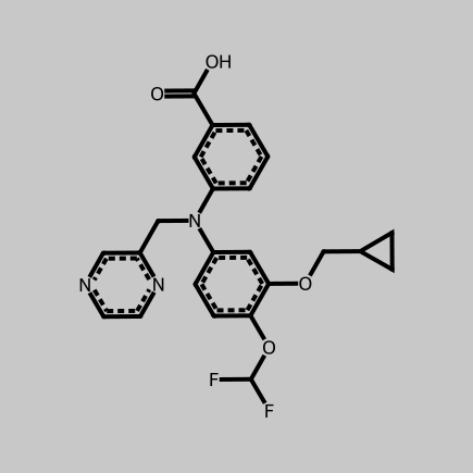 O=C(O)c1cccc(N(Cc2cnccn2)c2ccc(OC(F)F)c(OCC3CC3)c2)c1